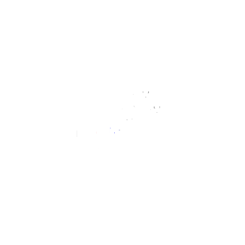 CCOC(C/N=C/c1ccc(OC)c(OC)c1)OCC